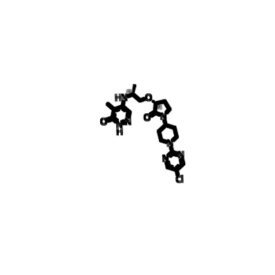 Cc1c(N[C@@H](C)CO[C@@H]2CCN(C3CCN(c4ncc(Cl)cn4)CC3)C2=O)cn[nH]c1=O